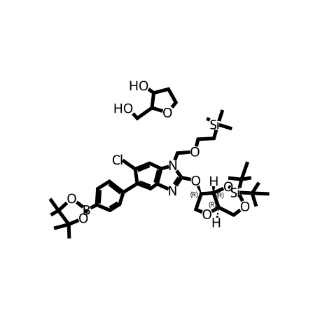 CC1(C)OB(c2ccc(-c3cc4nc(O[C@@H]5CO[C@@H]6CO[Si](C(C)(C)C)(C(C)(C)C)O[C@H]65)n(COCC[Si](C)(C)C)c4cc3Cl)cc2)OC1(C)C.OCC1OCCC1O